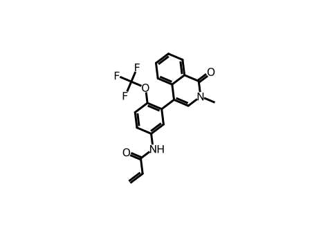 C=CC(=O)Nc1ccc(OC(F)(F)F)c(-c2cn(C)c(=O)c3ccccc23)c1